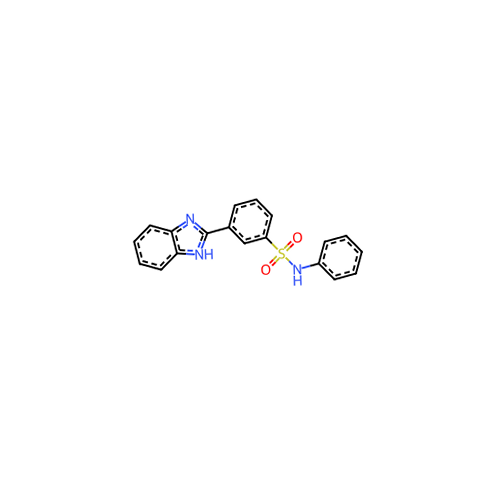 O=S(=O)(Nc1ccccc1)c1cccc(-c2nc3ccccc3[nH]2)c1